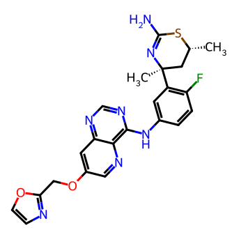 C[C@@H]1C[C@@](C)(c2cc(Nc3ncnc4cc(OCc5ncco5)cnc34)ccc2F)N=C(N)S1